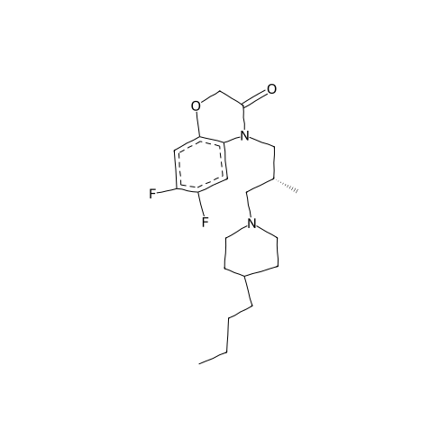 CCCCC1CCN(C[C@@H](C)CN2C(=O)COc3cc(F)c(F)cc32)CC1